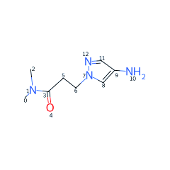 CN(C)C(=O)CCn1cc(N)cn1